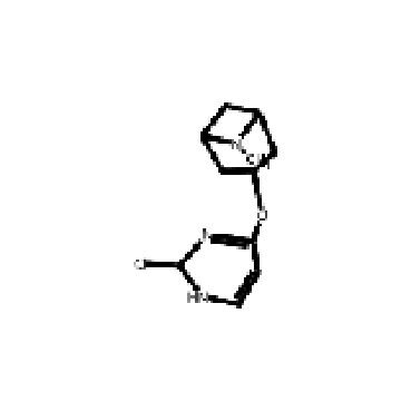 CN1C2CC(OC3=NC(Cl)NC=C3)CC1C2